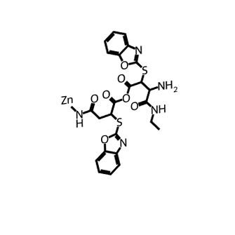 CCNC(=O)C(N)C(Sc1nc2ccccc2o1)C(=O)OC(=O)C(CC(=O)NC)Sc1nc2ccccc2o1.[Zn]